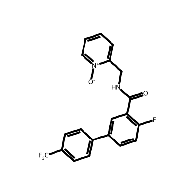 O=C(NCc1cccc[n+]1[O-])c1cc(-c2ccc(C(F)(F)F)cc2)ccc1F